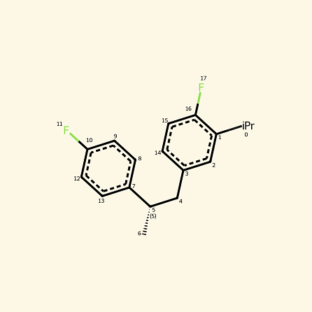 CC(C)c1cc(C[C@H](C)c2ccc(F)cc2)ccc1F